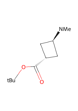 CN[C@H]1C[C@H](C(=O)OC(C)(C)C)C1